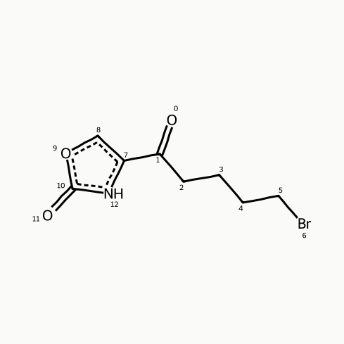 O=C(CCCCBr)c1coc(=O)[nH]1